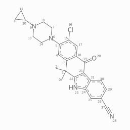 CC1(C)c2cc(N3CCN(C4CC4)CC3)c(Cl)cc2C(=O)c2c1[nH]c1cc(C#N)ccc21